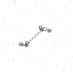 CN(CCCCCCCCCO[Si](C)(C)C(C)(C)C)C1C2CC(Br)C1CC2=O